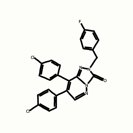 O=c1n(Cc2ccc(F)cc2)nc2c(-c3ccc(Cl)cc3)c(-c3ccc(Cl)cc3)cnn12